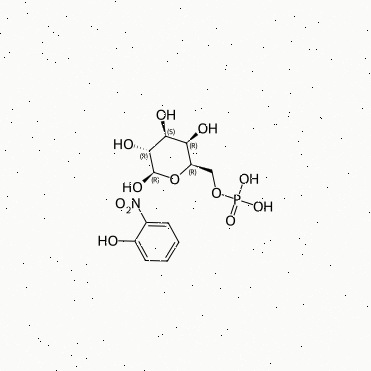 O=P(O)(O)OC[C@H]1O[C@@H](O)[C@H](O)[C@@H](O)[C@H]1O.O=[N+]([O-])c1ccccc1O